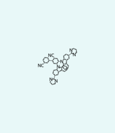 N#Cc1cccc(-c2cc(-n3c4ccccc4c4cc(-c5ncccn5)ccc43)c(-n3c4ccccc4c4cc(-c5ncccn5)ccc43)cc2C#N)c1